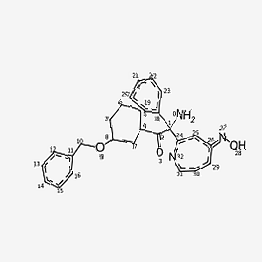 NC(C(=O)C1CCCC(OCc2ccccc2)C1)(c1ccccc1)c1cc(=NO)cccn1